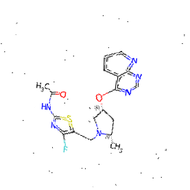 CC(=O)Nc1nc(F)c(CN2C[C@H](Oc3ncnc4ncccc34)C[C@@H]2C)s1